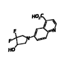 O=C(O)c1ccnc2ccc(N3CC(O)C(F)(F)C3)cc12